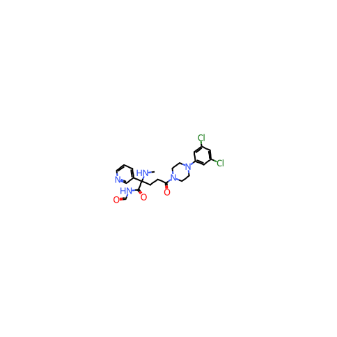 CNC(CCC(=O)N1CCN(c2cc(Cl)cc(Cl)c2)CC1)(C(=O)NC=O)c1cccnc1